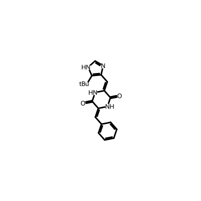 CC(C)(C)c1[nH]cnc1C=c1[nH]c(=O)c(=Cc2ccccc2)[nH]c1=O